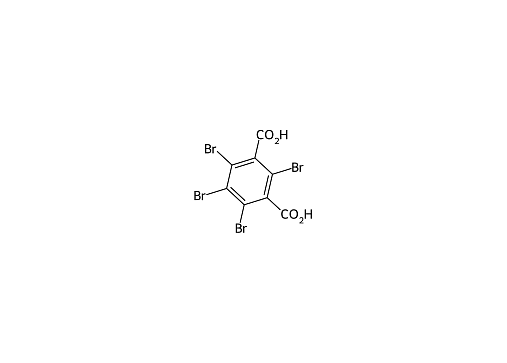 O=C(O)c1c(Br)c(Br)c(Br)c(C(=O)O)c1Br